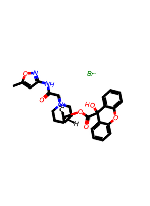 Cc1cc(NC(=O)C[N+]23CCC(CC2)[C@@H](OC(=O)C2(O)c4ccccc4Oc4ccccc42)C3)no1.[Br-]